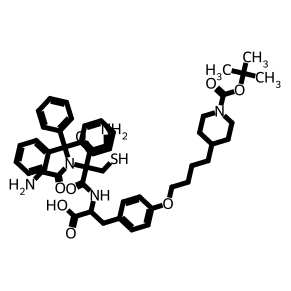 CC(C)(C)OC(=O)N1CCC(CCCCOc2ccc(CC(NC(=O)C(CS)(C(=O)CN)N(C(=O)CN)C(c3ccccc3)(c3ccccc3)c3ccccc3)C(=O)O)cc2)CC1